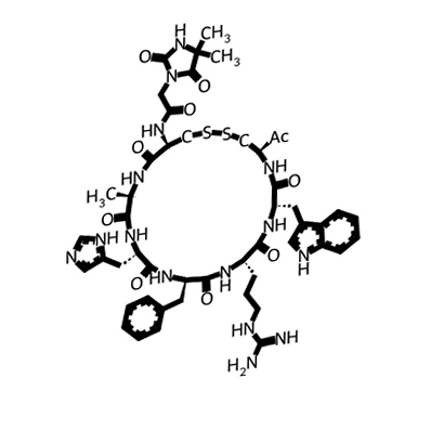 CC(=O)[C@@H]1CSSC[C@H](NC(=O)CN2C(=O)NC(C)(C)C2=O)C(=O)N[C@H](C)C(=O)N[C@@H](Cc2cnc[nH]2)C(=O)N[C@H](Cc2ccccc2)C(=O)N[C@@H](CCCNC(=N)N)C(=O)N[C@@H](Cc2c[nH]c3ccccc23)C(=O)N1